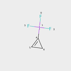 F[I](F)(F)C1=CC1